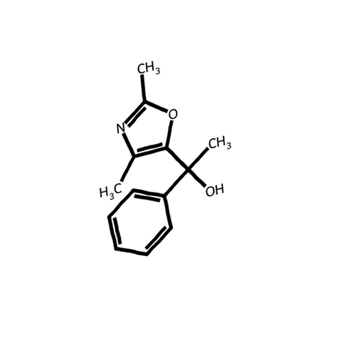 Cc1nc(C)c(C(C)(O)c2ccccc2)o1